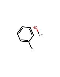 CC(C)O.[Ti][c]1ccccc1